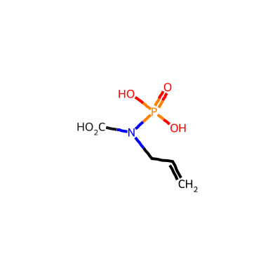 C=CCN(C(=O)O)P(=O)(O)O